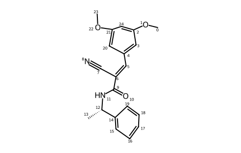 COc1cc(/C=C(\C#N)C(=O)N[C@@H](C)c2ccccc2)cc(OC)c1